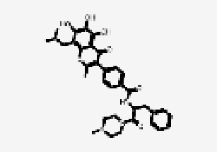 Cc1oc2c(CC(C)C)c(O)c(O)c(O)c2c(=O)c1-c1ccc(C(=O)NC(Cc2ccccc2)C(=O)N2CCN(C)CC2)cc1